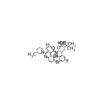 Cc1c(N2CCCC(C)C2)nc2ccc(Br)cc2c1C(=O)NCC(CC(C(=O)O)C(C)(C)C)c1cc(F)ccc1Cl